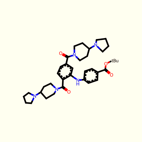 CC(C)(C)OC(=O)c1ccc(Nc2cc(C(=O)N3CCC(N4CCCC4)CC3)ccc2C(=O)N2CCC(N3CCCC3)CC2)cc1